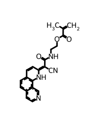 C=C(C)C(=O)OCCNC(=O)C(C#N)=C1C=Cc2ccc3ccncc3c2N1